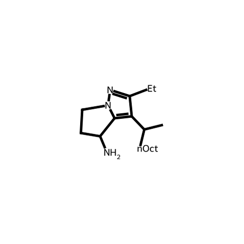 CCCCCCCCC(C)c1c(CC)nn2c1C(N)CC2